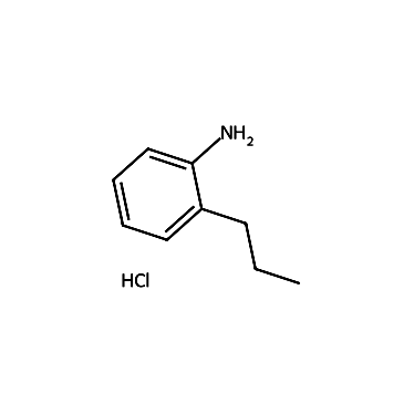 CCCc1ccccc1N.Cl